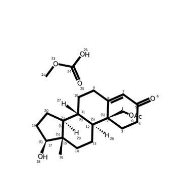 CC(=O)OC[C@]12CCC(=O)C=C1CC[C@@H]1[C@@H]2CC[C@]2(C)[C@@H](O)CC[C@@H]12.COC(=O)O